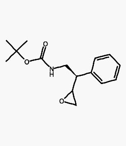 CC(C)(C)OC(=O)NC[C@@H](c1ccccc1)C1CO1